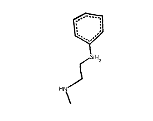 CNCC[SiH2]c1ccccc1